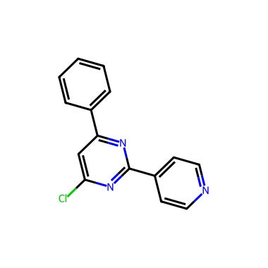 Clc1cc(-c2ccccc2)nc(-c2ccncc2)n1